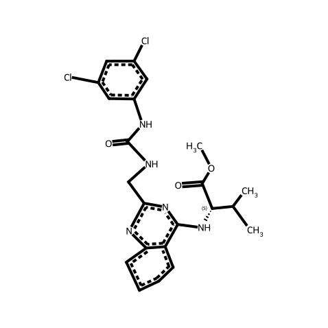 COC(=O)[C@@H](Nc1nc(CNC(=O)Nc2cc(Cl)cc(Cl)c2)nc2ccccc12)C(C)C